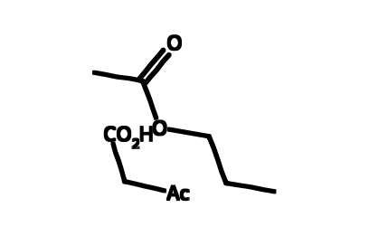 CC(=O)CC(=O)O.CCCOC(C)=O